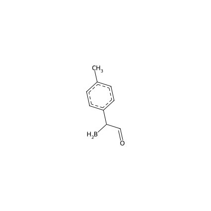 BC(C=O)c1ccc(C)cc1